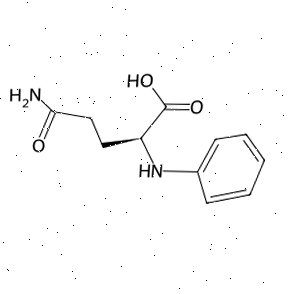 NC(=O)CC[C@H](Nc1ccccc1)C(=O)O